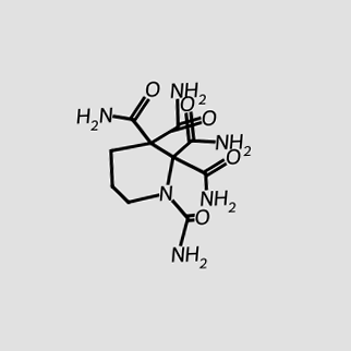 NC(=O)N1CCCC(C(N)=O)(C(N)=O)C1(C(N)=O)C(N)=O